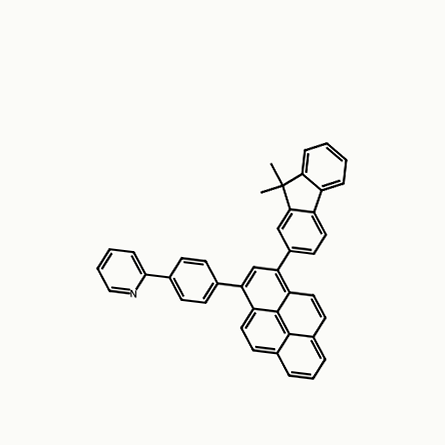 CC1(C)c2ccccc2-c2ccc(-c3cc(-c4ccc(-c5ccccn5)cc4)c4ccc5cccc6ccc3c4c56)cc21